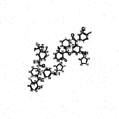 Cc1ccc(NC(=O)[C@H]2CCCN(C(=O)c3c(F)ccc(C4CCC(Nc5ccc([C@H]6[C@@H](C(=O)Nc7ccc(C)c(C(F)(F)F)c7)CCCN6C(=O)c6c(C)cccc6F)cc5)C4)c3C)[C@H]2c2ccc(NC3CCCC3)cc2)cc1Cl